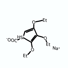 CCOC1=C[SiH](C(=O)[O-])C(OCC)=C1OCC.[Na+]